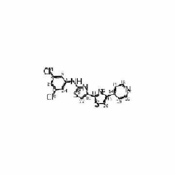 Clc1cc(Cl)cc(Nc2nc(-c3nc(-c4ccncc4)cs3)cs2)c1